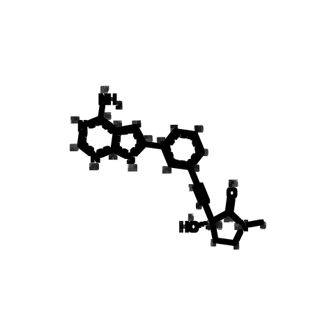 CN1CC[C@@](O)(C#Cc2cccc(-c3cc4c(N)ncnc4s3)c2)C1=O